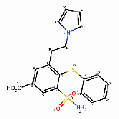 NS(=O)(=O)c1cc(C(=O)O)cc(CCn2cccc2)c1Sc1ccccc1